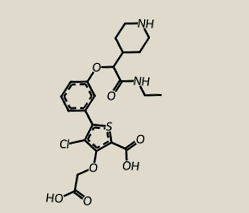 CCNC(=O)C(Oc1cccc(-c2sc(C(=O)O)c(OCC(=O)O)c2Cl)c1)C1CCNCC1